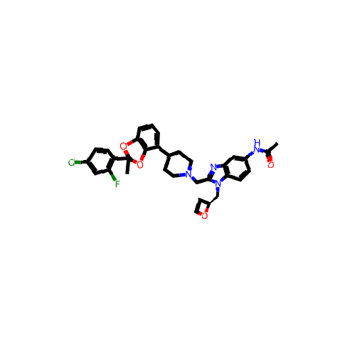 CC(=O)Nc1ccc2c(c1)nc(CN1CCC(c3cccc4c3OC(C)(c3ccc(Cl)cc3F)O4)CC1)n2C[C@@H]1CCO1